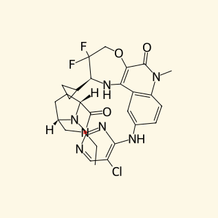 CCN1C[C@@H]2CC[C@H](C1=O)N2c1ncc(Cl)c(Nc2ccc3c(c2)c2c(c(=O)n3C)OCC(F)(F)[C@H](C3CC3)N2)n1